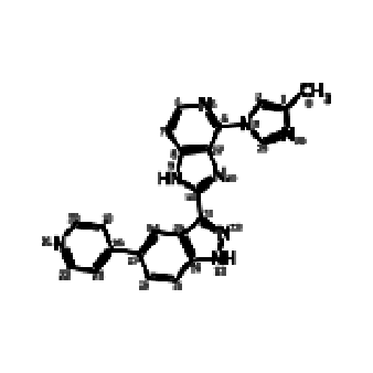 Cc1cn(-c2nccc3[nH]c(-c4n[nH]c5ccc(-c6ccncc6)cc45)nc23)cn1